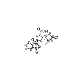 O=C(O)[C@@H]1CN(S(=O)(=O)c2ccccc2[N+](=O)[O-])C[C@H]1c1ccc(Cl)cc1F